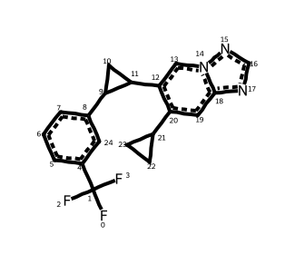 FC(F)(F)c1cccc(C2CC2c2cn3ncnc3cc2C2CC2)c1